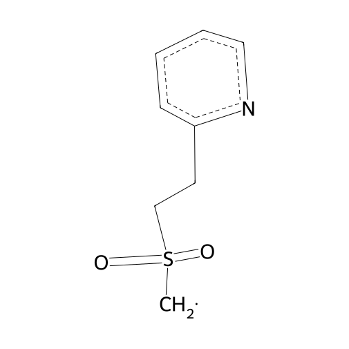 [CH2]S(=O)(=O)CCc1ccccn1